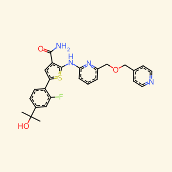 CC(C)(O)c1ccc(-c2cc(C(N)=O)c(Nc3cccc(COCc4ccncc4)n3)s2)c(F)c1